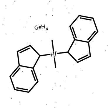 [CH3][Hf]([CH3])([CH]1C=Cc2ccccc21)[CH]1C=Cc2ccccc21.[GeH4]